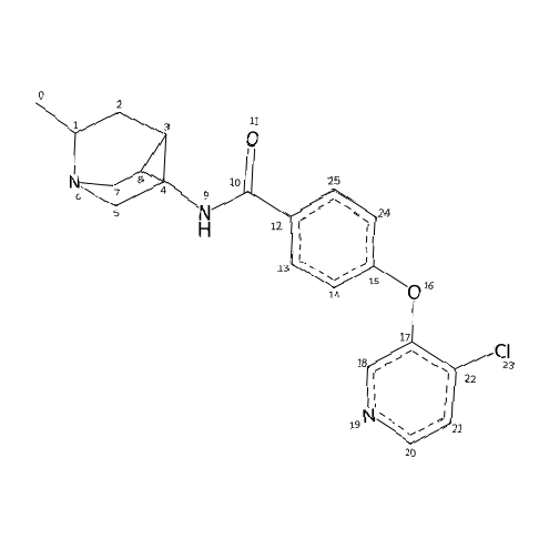 CC1CC2CCN1CC2NC(=O)c1ccc(Oc2cnccc2Cl)cc1